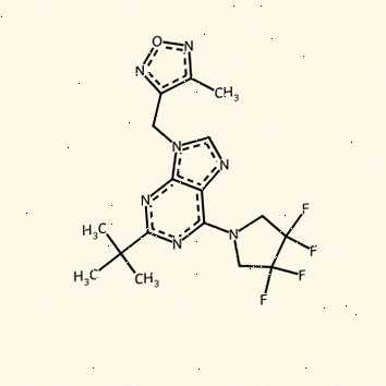 Cc1nonc1Cn1cnc2c(N3CC(F)(F)C(F)(F)C3)nc(C(C)(C)C)nc21